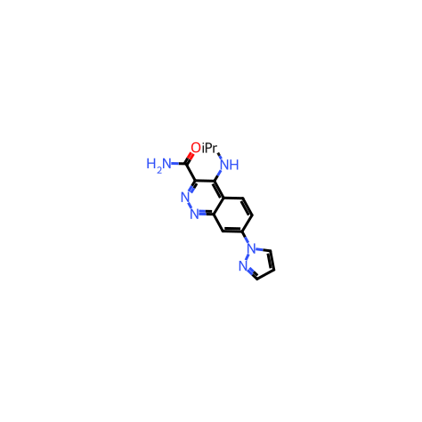 CC(C)Nc1c(C(N)=O)nnc2cc(-n3cccn3)ccc12